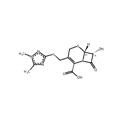 Cc1nc(SCC2=C(C(=O)O)N3C(=O)[C@@H](O)[C@H]3SC2)nn1C